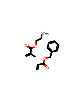 C=C(C)C(=O)OCCCCCCCCCCCC.C=CC(=O)OCc1ccccc1